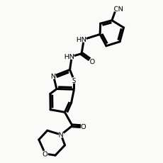 N#Cc1cccc(NC(=O)Nc2nc3ccc(C(=O)N4CCOCC4)cc3s2)c1